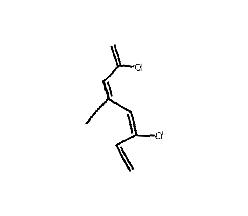 C=C/C(Cl)=C\C(C)=C/C(=C)Cl